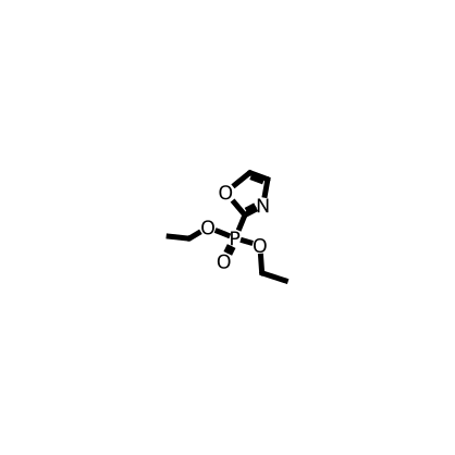 CCOP(=O)(OCC)c1ncco1